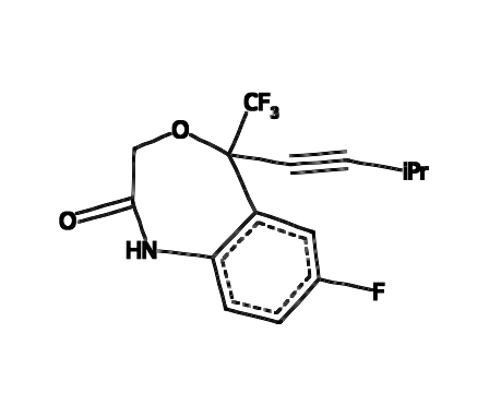 CC(C)C#CC1(C(F)(F)F)OCC(=O)Nc2ccc(F)cc21